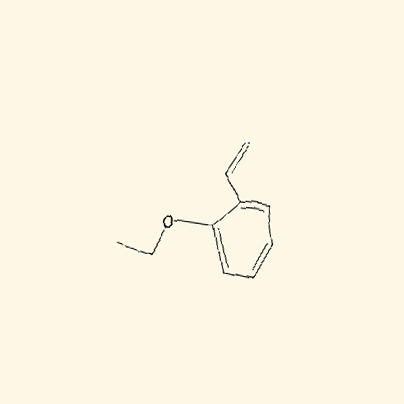 [CH]=Cc1ccccc1OCC